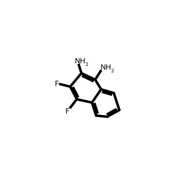 Nc1c(F)c(F)c2ccccc2c1N